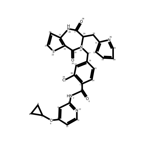 O=C(Nc1cc(OC2CC2)ccn1)c1ccc(CN2C(=O)c3sccc3NC(=O)C2Cc2ccccn2)cc1Cl